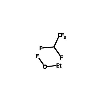 CCOF.FC(F)C(F)(F)F